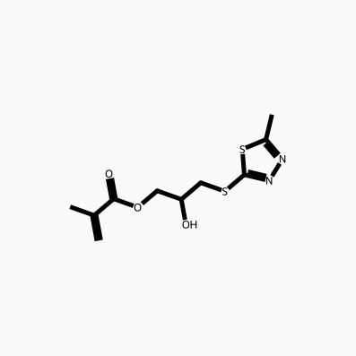 C=C(C)C(=O)OCC(O)CSc1nnc(C)s1